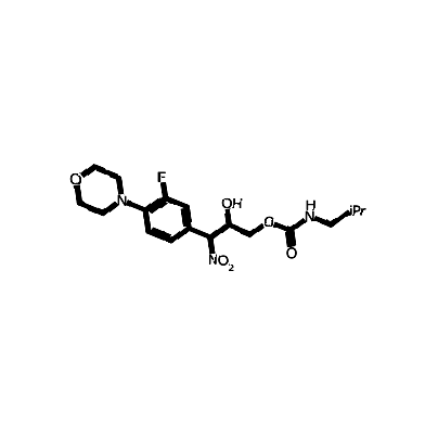 CC(C)CNC(=O)OCC(O)C(c1ccc(N2CCOCC2)c(F)c1)[N+](=O)[O-]